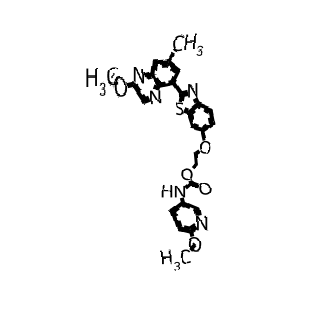 COc1ccc(NC(=O)OCCOc2ccc3nc(-c4cc(C)cc5nc(OC)cnc45)sc3c2)cn1